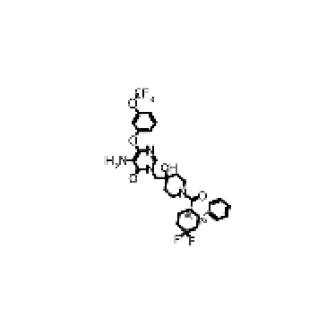 Nc1c(Oc2cccc(OC(F)(F)F)c2)ncn(CC2(O)CCN(C(=O)[C@@H]3CCC(F)(F)C[C@H]3c3ccccc3)CC2)c1=O